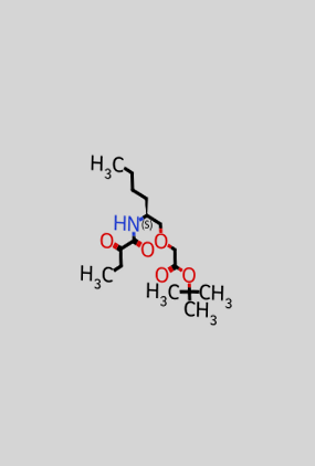 CCCC[C@@H](COCC(=O)OC(C)(C)C)NC(=O)C(=O)CC